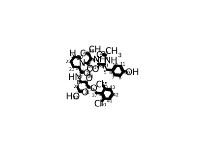 CC(=O)N[C@@H](Cc1ccc(O)cc1)C(=O)N[C@H](C(=O)N1CCCCC1C(=O)N[C@@H](CC(=O)O)C(=O)COCc1c(Cl)cccc1Cl)C(C)C